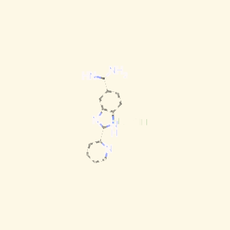 Cl.Cl.N=C(N)c1ccc2[nH]c(-c3ccccn3)nc2c1